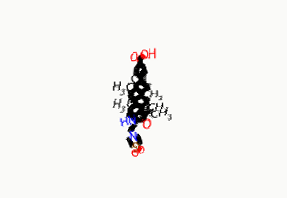 CC(C)C1=C2[C@H]3CCC4[C@@]5(C)CC=C(C6=CCC(C(=O)O)CC6)C(C)(C)C5CC[C@@]4(C)[C@]3(C)CC[C@@]2(NCCN2CCS(=O)(=O)CC2)CC1=O